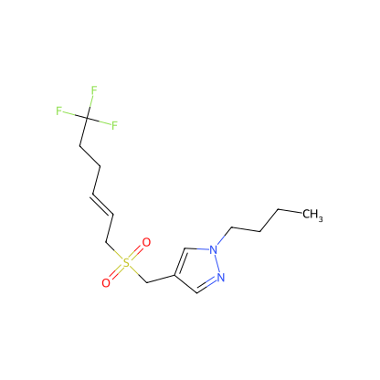 CCCCn1cc(CS(=O)(=O)CC=CCCC(F)(F)F)cn1